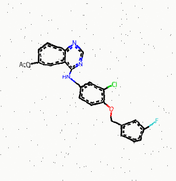 CC(=O)Oc1ccc2ncnc(Nc3ccc(OCc4cccc(F)c4)c(Cl)c3)c2c1